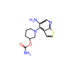 NC(=O)OC1CCCN(c2c(N)cnc3sccc23)C1